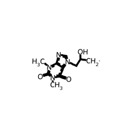 [CH2]C(O)Cn1cnc2c1c(=O)n(C)c(=O)n2C